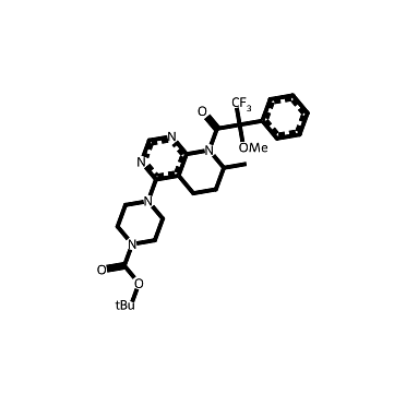 COC(C(=O)N1c2ncnc(N3CCN(C(=O)OC(C)(C)C)CC3)c2CCC1C)(c1ccccc1)C(F)(F)F